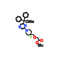 COC(c1ccccc1)(c1ccccc1)c1cncc(N2CCC(F)(COCC(=O)OC(C)(C)C)CC2)n1